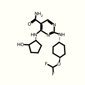 NC(=O)c1cnc(N[C@H]2CC[C@H](OC(F)F)CC2)nc1N[C@@H]1CCCC1O